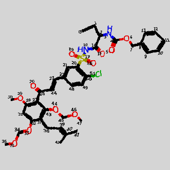 CCC(NC(=O)OCc1ccccc1)C(=O)NS(=O)(=O)c1cc(/C=C/C(=O)c2c(OC)cc(OCOC)c(CC=C(C)C)c2OCOC)ccc1Cl